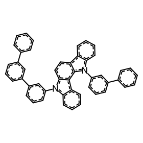 c1ccc(-c2cccc(-c3cccc(-n4c5ccccc5c5c4ccc4c6ccccc6n(-c6cccc(-c7ccccc7)c6)c45)c3)c2)cc1